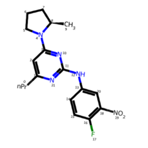 CCCc1cc(N2CCC[C@H]2C)nc(Nc2ccc(F)c([N+](=O)[O-])c2)n1